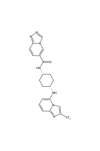 O=C(N[C@H]1CC[C@@H](Nc2cccc3nc(C(F)(F)F)cn23)CC1)c1ccc2nncn2c1